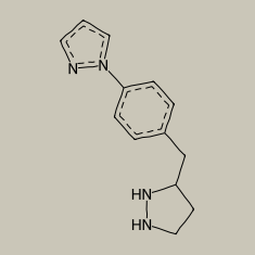 c1cnn(-c2ccc(CC3CCNN3)cc2)c1